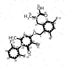 Cc1nc(OCc2c(F)cc(F)cc2CN(C)C(=O)O)c(Br)c(=O)n1-c1c(F)cccc1F